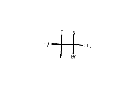 FC(F)(F)C(F)(F)C(Br)(Br)C(F)(F)F